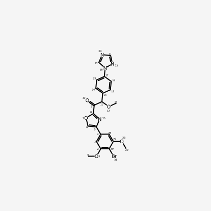 COc1cc(-c2coc(C(=O)C(OC)c3ccc(-n4cncn4)cc3)n2)cc(OC)c1Br